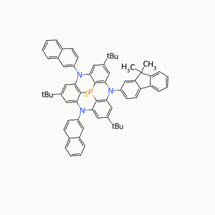 CC(C)(C)c1cc2c3c(c1)N(c1ccc4ccccc4c1)c1cc(C(C)(C)C)cc4c1P3(=S)c1c(cc(C(C)(C)C)cc1N4c1ccc3ccccc3c1)N2c1ccc2c(c1)C(C)(C)c1ccccc1-2